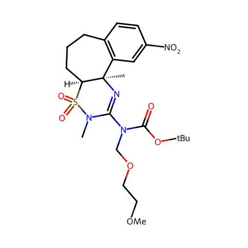 COCCOCN(C(=O)OC(C)(C)C)C1=N[C@]2(C)c3cc([N+](=O)[O-])ccc3CCC[C@@H]2S(=O)(=O)N1C